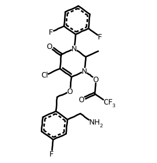 CC1N(OC(=O)C(F)(F)F)C(OCc2ccc(F)cc2CN)=C(Cl)C(=O)N1c1c(F)cccc1F